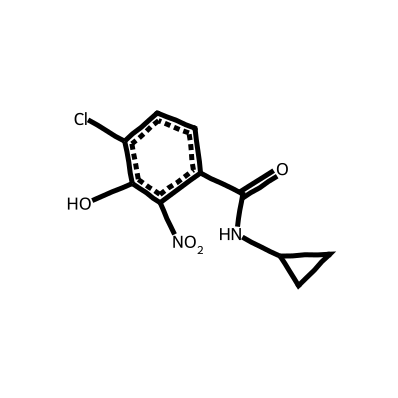 O=C(NC1CC1)c1ccc(Cl)c(O)c1[N+](=O)[O-]